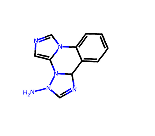 NN1C=NC2c3ccccc3-n3cncc3N21